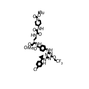 COC(=O)[C@H](CCNC(=O)C(=O)NC1CCN(C(=O)OC(C)(C)C)CC1)NC(=O)c1ccc(Nc2nc(NC3(c4ccc(Cl)cc4)CC3)nc(OCC(F)(F)F)n2)cc1